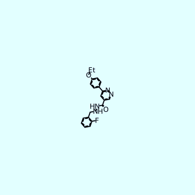 CCOc1ccc(-c2cc(C(=O)NNCc3ccccc3F)cnn2)cc1